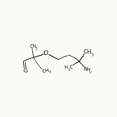 CC(C)(N)CCOC(C)(C)C=O